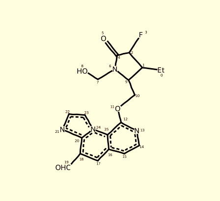 CCC1C(F)C(=O)N(CO)C1COc1nccc2cc(C=O)c3nccn3c12